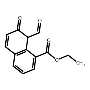 CCOC(=O)c1cccc2c1C(C=O)C(=O)C=C2